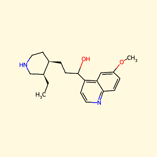 CC[C@H]1CNCC[C@H]1CCC(O)c1ccnc2ccc(OC)cc12